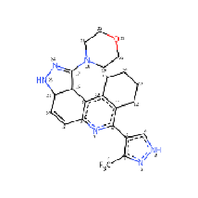 FC(F)(F)c1n[nH]cc1-c1nc2c(c3c1CCCC3)C1C(N3CCOCC3)=NNC1C=C2